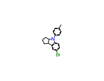 Cc1ccc(N2c3ccc(Br)cc3C3CCCC32)cc1